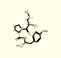 COc1ccc(C[C@H](NC(=O)[C@@H]2CCCN2C(=O)[C@H](C)CSC(C)=O)C(=O)O)cc1